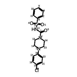 O=C(NS(=O)(=O)c1ccccc1)N1CCN(c2ccc(Cl)cc2)CC1